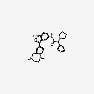 CN1CCN(C)c2ccc(-c3n[nH]c4ccc(NC(=O)C(c5ccsc5)N5CCCC5)cc34)cc2C1